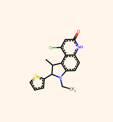 CC1c2c(ccc3[nH]c(=O)cc(Cl)c23)N(CC(F)(F)F)C1c1cccs1